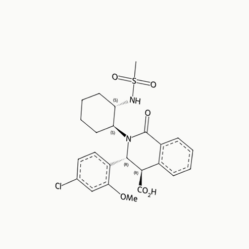 COc1cc(Cl)ccc1[C@H]1[C@H](C(=O)O)c2ccccc2C(=O)N1[C@H]1CCCC[C@@H]1NS(C)(=O)=O